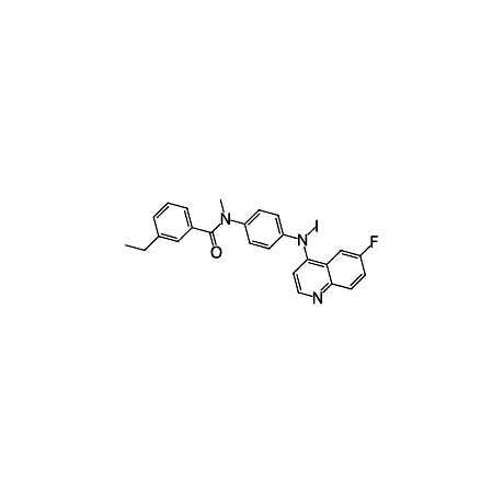 CCc1cccc(C(=O)N(C)c2ccc(N(I)c3ccnc4ccc(F)cc34)cc2)c1